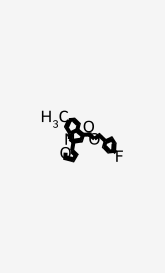 Cc1ccc2c(C(=O)OCc3ccc(F)cc3)cc(-c3ccco3)nc2c1